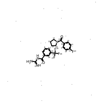 N=C(N)NC(=O)c1ccc([C@@H]2CCN(C(=O)c3ccc(F)cc3)C2)c(C(F)(F)F)c1